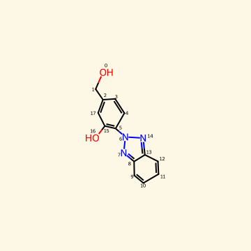 OCc1ccc(-n2nc3ccccc3n2)c(O)c1